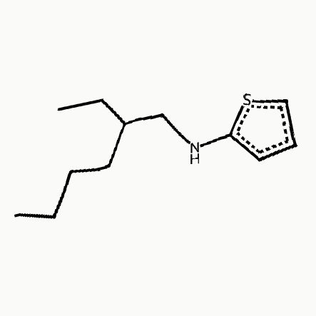 CCCCC(CC)CNc1cccs1